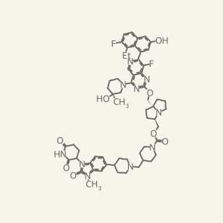 CCc1c(F)ccc2cc(O)cc(-c3ncc4c(N5CCC[C@@](C)(O)C5)nc(OC[C@]56CCCN5[C@@H](COC(=O)N5CCC(CN7CCC(c8ccc9c(c8)n(C)c(=O)n9C8CCC(=O)NC8=O)CC7)CC5)CC6)nc4c3F)c12